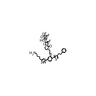 C[n+]1nn(-c2ccc(-c3nc(CCc4ccccc4)cs3)c(OCCN3CCNC3=O)c2)cc1CCCCN.O=C(O)C(F)(F)F.O=S(=O)([O-])C(F)(F)F